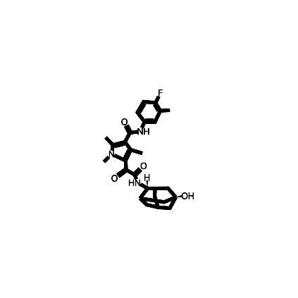 Cc1cc(NC(=O)c2c(C)c(C(=O)C(=O)N[C@H]3C4CC5CC3C[C@](O)(C5)C4)n(C)c2C)ccc1F